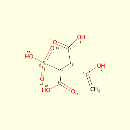 C=CO.O=C(O)CC(C(=O)O)S(=O)(=O)O